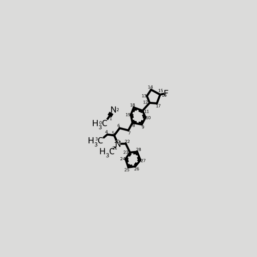 CC#N.CCC(CCc1ccc(C2CCC(F)C2)cc1)N(C)Cc1ccccc1